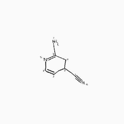 N#CC1C=CN=C(N)C1